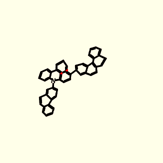 c1ccc(-c2ccccc2N(c2ccc(-c3ccc4c(ccc5ccc6ccccc6c54)c3)cc2)c2ccc3c(ccc4ccccc43)c2)cc1